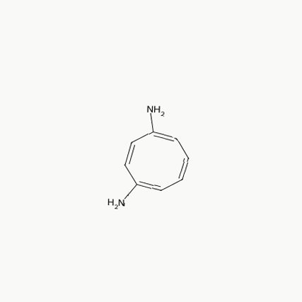 NC1=C/C=C\C=C(N)/C=C\1